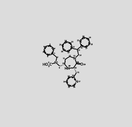 O=C(O)N(Cc1ccccc1)C[C@@H]1CCN(CC(c2ccccc2)c2ccccc2)C(=O)[C@H](Cc2ccccn2)N1